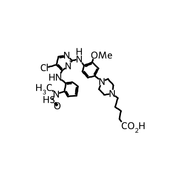 COc1cc(N2CCN(CCCCC(=O)O)CC2)ccc1Nc1ncc(Cl)c(Nc2ccccc2N(C)[SH]=O)n1